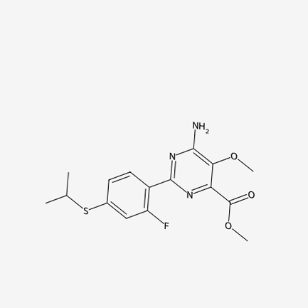 COC(=O)c1nc(-c2ccc(SC(C)C)cc2F)nc(N)c1OC